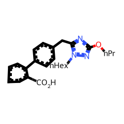 CCCCCCn1nc(OCCC)nc1Cc1ccc(-c2ccccc2C(=O)O)cc1